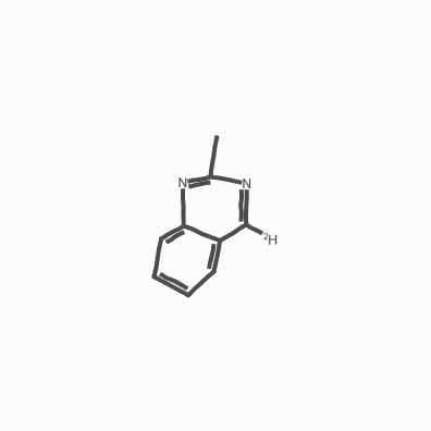 [2H]c1nc(C)nc2ccccc12